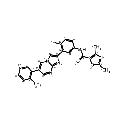 Cc1nc(C)c(C(=O)Nc2ccc(F)c(-c3cn4cc(-c5cnccc5C)cnc4n3)c2)o1